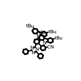 CC(C)(C)c1ccc2c(c1)c1cc(C(C)(C)C)ccc1n2-c1ccc(-c2nc(-c3ccccc3)nc(-c3ccccc3)n2)c(-c2cccc(C#N)c2-n2c3ccc(C(C)(C)C)cc3c3cc(C(C)(C)C)ccc32)c1